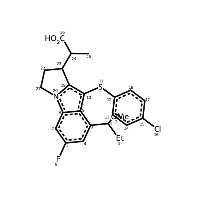 CCC(OC)c1cc(F)cc2c1c(Sc1ccc(Cl)cc1)c1n2CCC1C(C)C(=O)O